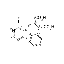 CN(C(=O)O)C(C(=O)O)c1ccccc1.Fc1ccccn1